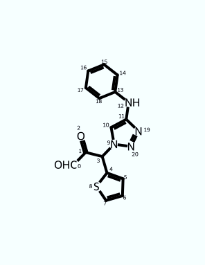 O=CC(=O)C(c1cccs1)n1cc(Nc2ccccc2)nn1